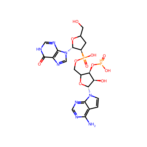 Nc1ncnc2c1ccn2[C@@H]1OC(COP(=O)(O)[C@@H]2CC(CO)O[C@H]2n2cnc3c(=O)[nH]cnc32)[C@@H](O[PH](=O)O)[C@H]1O